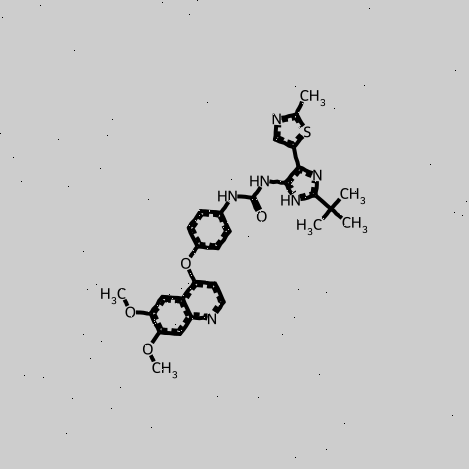 COc1cc2nccc(Oc3ccc(NC(=O)Nc4[nH]c(C(C)(C)C)nc4-c4cnc(C)s4)cc3)c2cc1OC